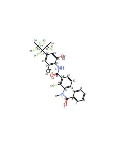 CN(C(=O)c1ccccc1)c1cccc(C(=O)Nc2c(Br)cc(C(F)(C(C)(F)F)C(C)(F)F)cc2C(F)(F)F)c1F